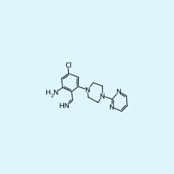 N=Cc1c(N)cc(Cl)cc1N1CCN(c2ncccn2)CC1